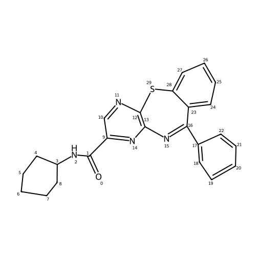 O=C(NC1CCCCC1)c1cnc2c(n1)N=C(c1ccccc1)c1ccccc1S2